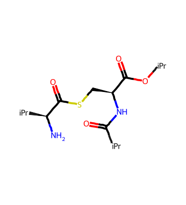 CC(C)OC(=O)[C@H](CSC(=O)[C@@H](N)C(C)C)NC(=O)C(C)C